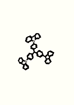 c1ccc2c(c1)-c1ccccc1C2c1ccc(C(c2ccc(-n3c4ccccc4c4ccccc43)cc2)c2ccc(-n3c4ccccc4c4ccccc43)cc2)cc1